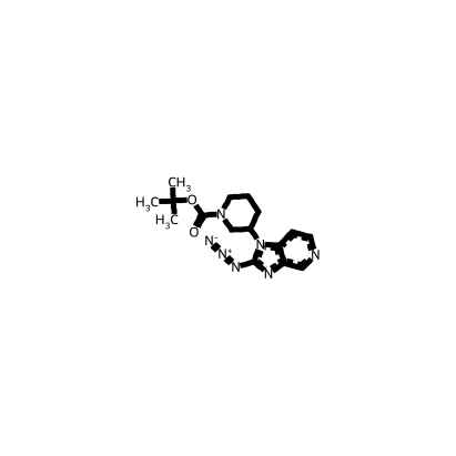 CC(C)(C)OC(=O)N1CCCC(n2c(N=[N+]=[N-])nc3cnccc32)C1